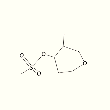 CC1COCCC1OS(C)(=O)=O